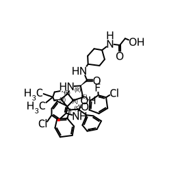 CC1(C)CC[C@@]2(N[C@@H](C(=O)NC3CCC(NC(=O)CO)CC3)[C@H](c3cccc(Cl)c3F)[C@]23C(=O)Nc2cc(Cl)ccc23)[C@@H]([C@H](c2ccccc2)[C@H](O)c2ccccc2)C1